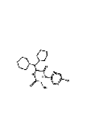 CC(C)(C)OC(=O)NC(C(=O)Nc1cnc(Br)cn1)C(C1CCCCC1)C1CCCCC1